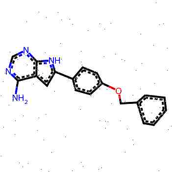 Nc1ncnc2[nH]c(-c3ccc(OCc4ccccc4)cc3)cc12